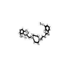 CC(=O)c1cccc2nc(SCCN3CCN(CC(=O)Nc4c(C(C)C)cccc4C(C)C)CC3)oc12